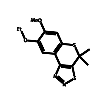 CCOc1cc2c(cc1OC)SC(C)(C)c1snnc1-2